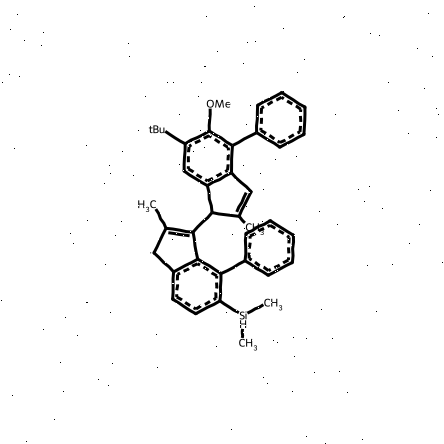 COc1c(C(C)(C)C)cc2c(c1-c1ccccc1)C=C(C)C2C1=C(C)[CH]c2ccc([SiH](C)C)c(-c3ccccc3)c21